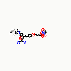 CCN(CC)c1ccc2c(c1)OC(=C(C#N)C#N)C=C2C=Cc1ccc(OCCCCCC(=O)ON2C(=O)CCC2=O)cc1